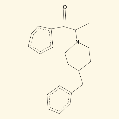 CC(C(=O)c1ccccc1)N1CCC(Cc2ccccc2)CC1